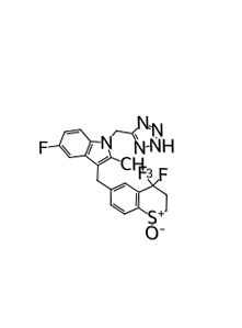 Cc1c(Cc2ccc3c(c2)C(F)(F)CC[S+]3[O-])c2cc(F)ccc2n1Cc1nn[nH]n1